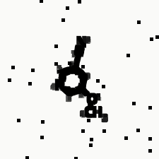 COc1cn[c]c(C#N)c1